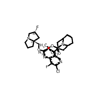 CC(C)(C)OC(=O)N1C2CCCC1CN(c1nc(OC[C@@]34CCCN3C[C@H](F)C4)nc3c(F)c(Cl)ncc13)C2